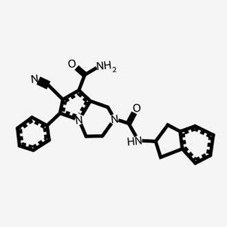 N#Cc1c(C(N)=O)c2n(c1-c1ccccc1)CCN(C(=O)NC1Cc3ccccc3C1)C2